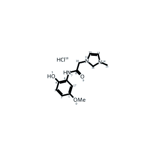 COc1ccc(O)c(NC(=O)CN2C=CN(C)C2)c1.Cl